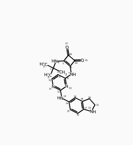 CC(C)(C)Nc1c(Nc2ccnc(Nc3ccc4c(c3)CCN4)n2)c(=O)c1=O